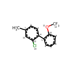 Cc1ccc(-c2ccccc2OC(F)(F)F)c(Cl)c1